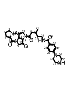 CC(=O)N1CCCC1C(=O)N1CC(=O)C2C1CCN2C(=O)CC(C)CCNC(=O)c1ccc(N2CCNCC2)cc1